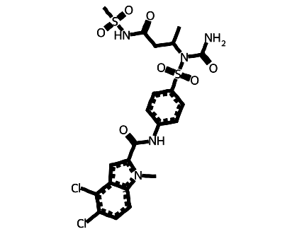 CC(CC(=O)NS(C)(=O)=O)N(C(N)=O)S(=O)(=O)c1ccc(NC(=O)c2cc3c(Cl)c(Cl)ccc3n2C)cc1